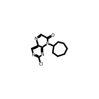 O=c1cnc2cnc(Cl)nc2n1C1CCCCCC1